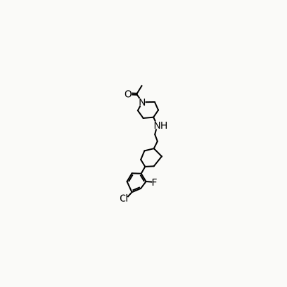 CC(=O)N1CCC(NCCC2CCC(c3ccc(Cl)cc3F)CC2)CC1